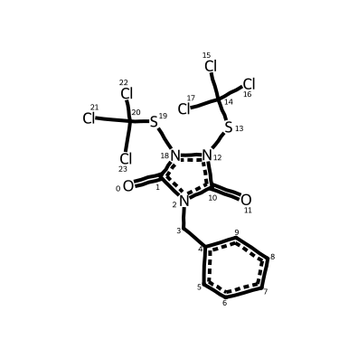 O=c1n(Cc2ccccc2)c(=O)n(SC(Cl)(Cl)Cl)n1SC(Cl)(Cl)Cl